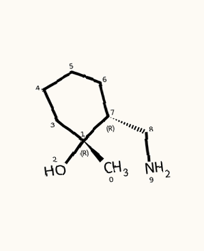 C[C@@]1(O)CCCC[C@@H]1CN